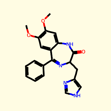 COc1cc2c(cc1OC)C(c1ccccc1)=NC(Cc1c[nH]cn1)C(=O)N2